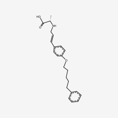 C[C@H](NC/C=C/c1ccc(OCCCCCc2ccccc2)cc1)C(=O)O